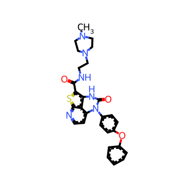 CN1CCN(CCNC(=O)c2sc3nccc4c3c2NC(=O)N4c2ccc(Oc3ccccc3)cc2)CC1